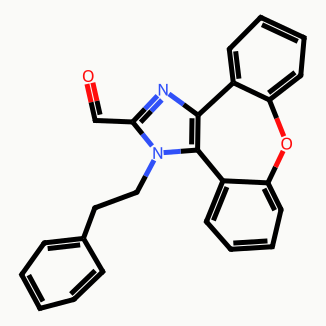 O=Cc1nc2c(n1CCc1ccccc1)-c1ccccc1Oc1ccccc1-2